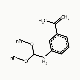 C=C(C)c1cccc([SiH2]C(OCCC)OCCC)c1